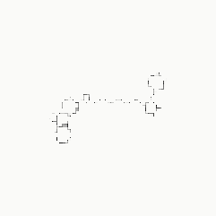 c1ccc(-n2nccc2CCCCCCOc2ccc3oc4ccccc4c3c2)cc1